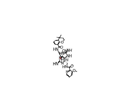 COc1cccnc1C(=O)NC[C@@H]1NC(=N)N2CC(NC(=O)c3cccc4c3OCCC4(C)C)[C@@H](O)[C@@]23NC(=N)N[C@@H]13